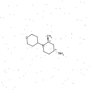 C[C@H]1C[C@H](N)CCN1C1CCOCC1